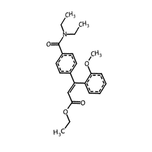 CCOC(=O)C=C(c1ccc(C(=O)N(CC)CC)cc1)c1ccccc1OC